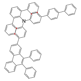 c1ccc(-c2ccc(-c3ccc(N(c4ccc(-c5ccc6c(c5)c(-c5ccccc5)c(-c5ccccc5)c5ccccc56)cc4)c4c(-c5ccccc5)cccc4-c4ccccc4)cc3)cc2)cc1